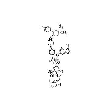 CC1(C)CCC(CN2CCN(c3ccc(C(=O)NS(=O)(=O)c4cc5c(c([N+](=O)[O-])c4)N[C@H](CN4C[C@@H]6C[C@H]4CO6)CO5)c(Oc4cnc5[nH]ccc5c4)c3)CC2)=C(c2ccc(Cl)cc2)C1